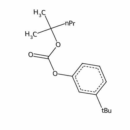 CCCC(C)(C)OC(=O)Oc1cccc(C(C)(C)C)c1